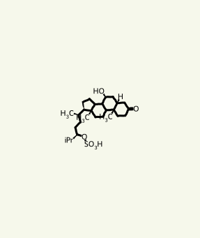 CC(C)[C@@H](CC[C@@H](C)[C@H]1CCC2C3C(CC[C@@]21C)[C@@]1(C)CCC(=O)C[C@H]1C[C@@H]3O)OS(=O)(=O)O